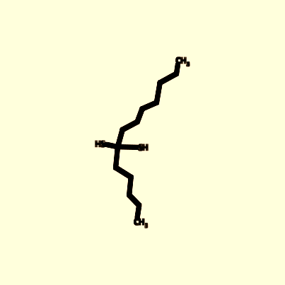 CCCCCCCC(S)(S)CCCCC